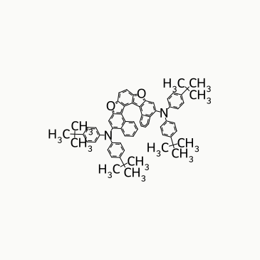 CC(C)(C)c1ccc(N(c2ccc(C(C)(C)C)cc2)c2cc3oc4ccc5oc6cc(N(c7ccc(C(C)(C)C)cc7)c7ccc(C(C)(C)C)cc7)c7ccccc7c6c5c4c3c3ccccc23)cc1